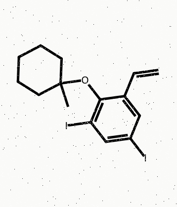 C=Cc1cc(I)cc(I)c1OC1(C)CCCCC1